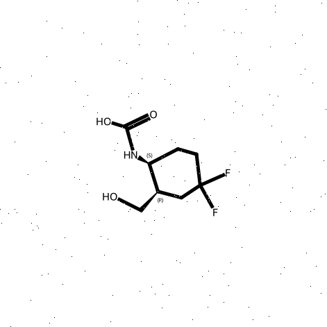 O=C(O)N[C@H]1CCC(F)(F)C[C@H]1CO